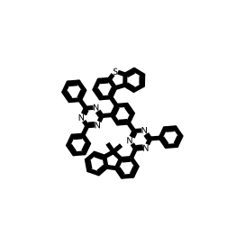 CC1(C)c2ccccc2-c2cccc(-c3nc(-c4ccccc4)nc(-c4ccc(-c5cccc6sc7ccccc7c56)c(-c5nc(-c6ccccc6)nc(-c6ccccc6)n5)c4)n3)c21